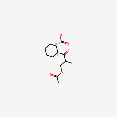 CC(=O)SCC(C)C(=O)[C@H]1CCCC[C@@H]1C(=O)O